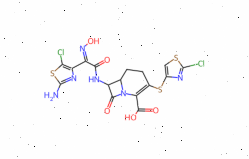 Nc1nc(/C(=N/O)C(=O)NC2C(=O)N3C(C(=O)O)=C(Sc4csc(Cl)n4)CCC23)c(Cl)s1